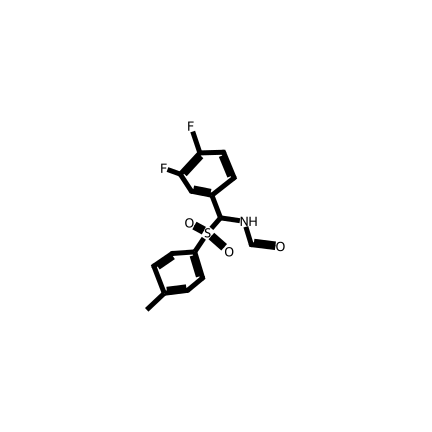 Cc1ccc(S(=O)(=O)C(NC=O)c2ccc(F)c(F)c2)cc1